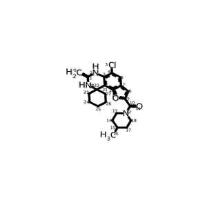 C=C1Nc2c(Cl)cc3cc(C(=O)N4CCC(C)CC4)oc3c2C2(CCCCC2)N1